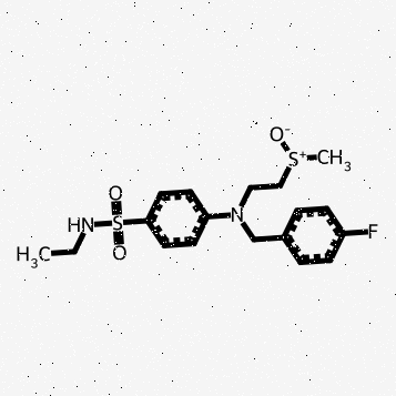 CCNS(=O)(=O)c1ccc(N(CC[S+](C)[O-])Cc2ccc(F)cc2)cc1